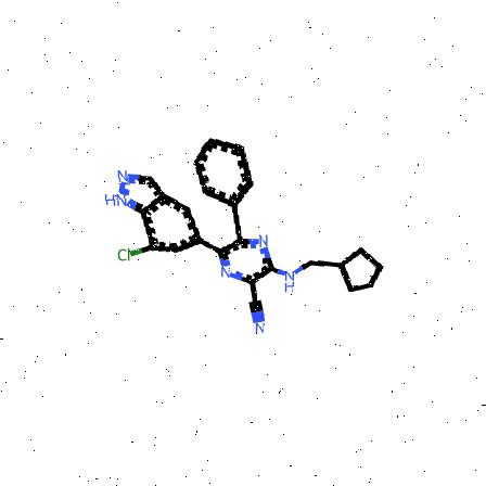 N#Cc1nc(-c2cc(Cl)c3[nH]ncc3c2)c(-c2ccccc2)nc1NCC1CCCC1